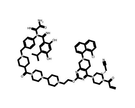 C=CC(=O)N1CCN(c2nc(OCCN3CCC(N4CCN(C(=O)C5CCN(Cc6ccc(N(C(=N)C(N)=O)C(=N)c7cc(C(C)C)c(O)cc7O)cc6)CC5)CC4)CC3)nc3c2CCN(c2cccc4cccc(Cl)c24)C3)C[C@@H]1CC#N